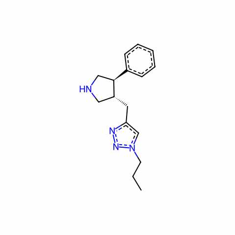 CCCn1cc(C[C@@H]2CNC[C@H]2c2ccccc2)nn1